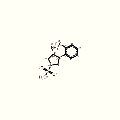 CS(=O)(=O)N1C[C@H](c2ccccc2C(F)(F)F)[C@@H](N)C1